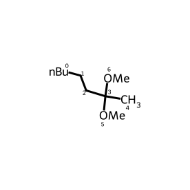 CCCCCCC(C)(OC)OC